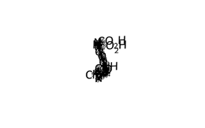 CN1Cc2c(Cl)cc(Cl)cc2C(c2cccc(S(=O)(=O)NCCOCCOCCOCCn3nnc(C(=O)O)c3C(=O)O)c2)C1